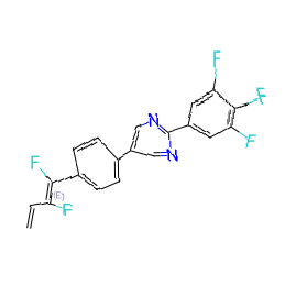 C=C/C(F)=C(\F)c1ccc(-c2cnc(-c3cc(F)c(F)c(F)c3)nc2)cc1